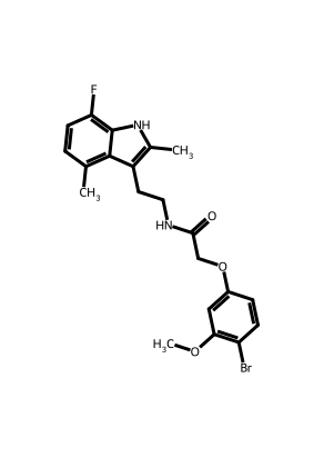 COc1cc(OCC(=O)NCCc2c(C)[nH]c3c(F)ccc(C)c23)ccc1Br